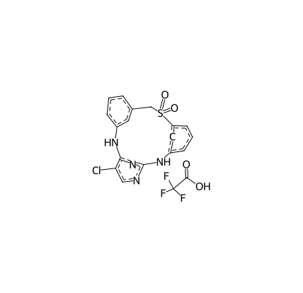 O=C(O)C(F)(F)F.O=S1(=O)Cc2cccc(c2)Nc2nc(ncc2Cl)Nc2cccc1c2